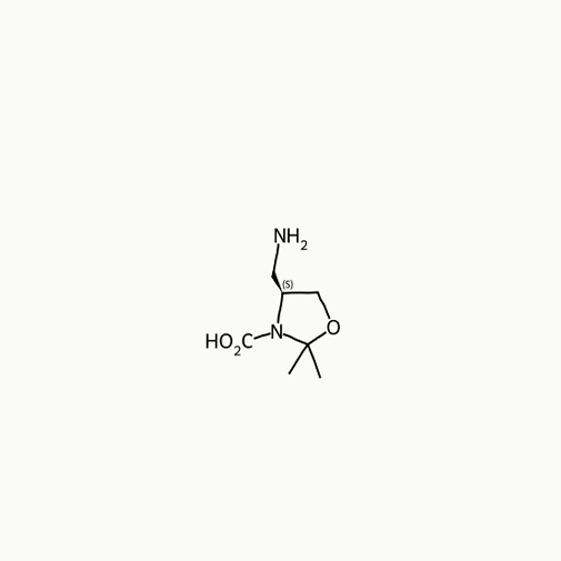 CC1(C)OC[C@H](CN)N1C(=O)O